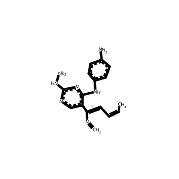 C=N/C(=C\C=C/C)c1cnc(NCCCC)nc1Nc1ccc(N)cc1